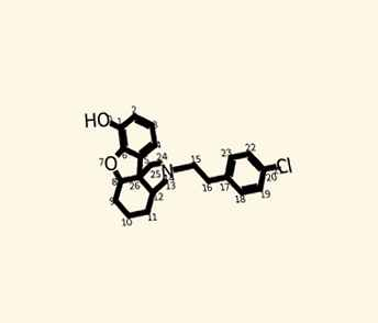 Oc1cccc2c1OC1CCCC3CN(CCc4ccc(Cl)cc4)CCC231